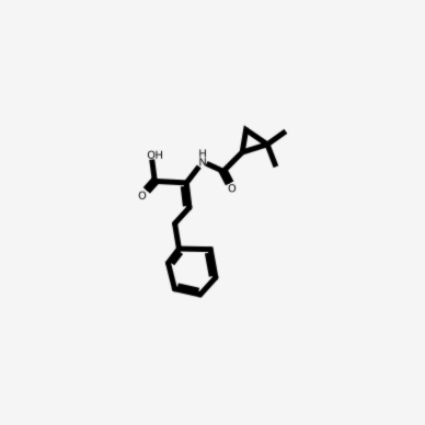 CC1(C)CC1C(=O)N/C(=C/Cc1ccccc1)C(=O)O